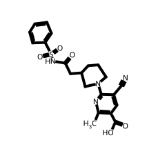 Cc1nc(N2CCCC(CC(=O)NS(=O)(=O)c3ccccc3)C2)c(C#N)cc1C(=O)O